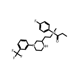 CCC(=O)[N+](C)(CCC1CN(c2cccc(C(F)(F)F)c2)CCN1)c1ccc(F)cc1